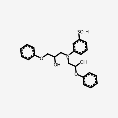 O=S(=O)(O)c1cccc(N(CC(O)COc2ccccc2)CC(O)Oc2ccccc2)c1